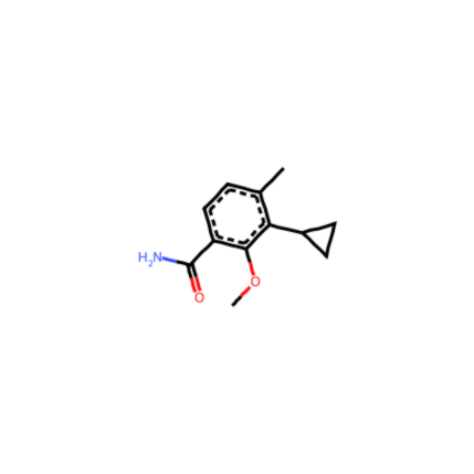 COc1c(C(N)=O)ccc(C)c1C1CC1